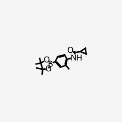 Cc1cc(B2OC(C)(C)C(C)(C)O2)ccc1NC(=O)C1CC1